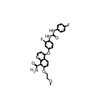 COCCOc1ccc2c(Oc3ccc(NC(=O)Nc4ccc(F)cc4)c(F)c3)ccnc2c1C(N)=O